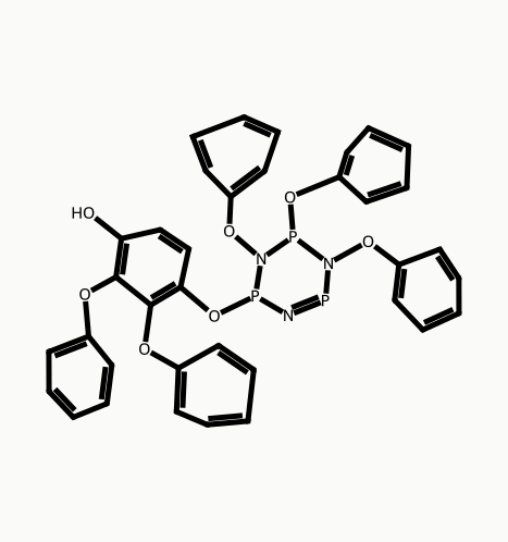 Oc1ccc(Op2npn(Oc3ccccc3)p(Oc3ccccc3)n2Oc2ccccc2)c(Oc2ccccc2)c1Oc1ccccc1